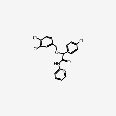 O=C(Nc1ccccn1)C(OCc1ccc(Cl)c(Cl)c1)c1ccc(Cl)cc1